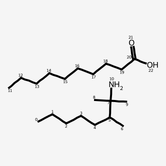 CCCCCC(C)C(C)(C)N.CCCCCCCCCC(=O)O